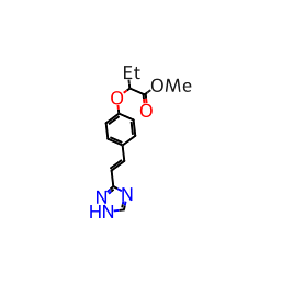 CCC(Oc1ccc(C=Cc2nc[nH]n2)cc1)C(=O)OC